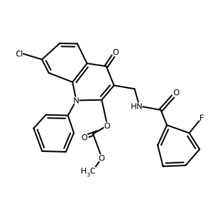 COC(=O)Oc1c(CNC(=O)c2ccccc2F)c(=O)c2ccc(Cl)cc2n1-c1ccccc1